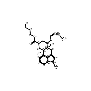 C=CCN1CC(C(=O)OCCCF)C[C@@H]2c3cccc4c3c(cn4CCC)C[C@H]21.O=S(=O)(O)O